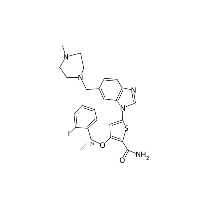 C[C@@H](Oc1cc(-n2cnc3ccc(CN4CCN(C)CC4)cc32)sc1C(N)=O)c1ccccc1I